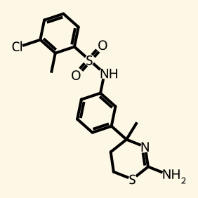 Cc1c(Cl)cccc1S(=O)(=O)Nc1cccc(C2(C)CCSC(N)=N2)c1